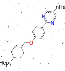 CCCCCCCC1CCC(COc2ccc(-c3ncc(CCCCCC)cn3)cc2)CC1